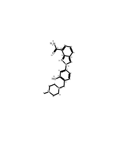 CN1CCN(Cc2ccc(-n3cc4cccc(C(N)=O)c4n3)cc2O)CC1